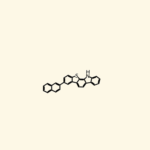 c1ccc2cc(-c3ccc4sc5c(ccc6c7ccccc7[nH]c65)c4c3)ccc2c1